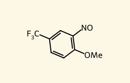 COc1ccc(C(F)(F)F)cc1N=O